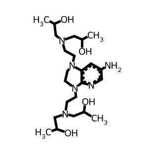 CC(O)CN(CCN1CCN(CCN(CC(C)O)CC(C)O)c2ncc(N)cc21)CC(C)O